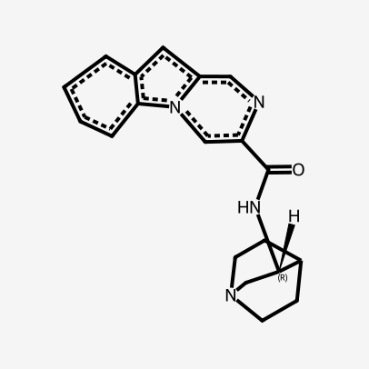 O=C(N[C@H]1CN2CCC1CC2)c1cn2c(cn1)cc1ccccc12